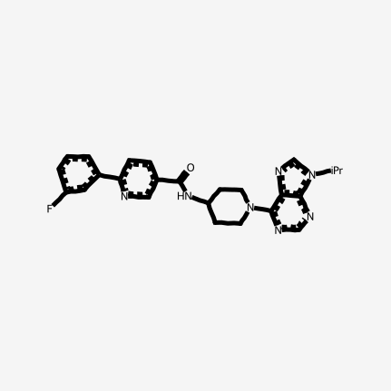 CC(C)n1cnc2c(N3CCC(NC(=O)c4ccc(-c5cccc(F)c5)nc4)CC3)ncnc21